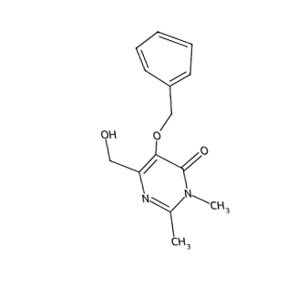 Cc1nc(CO)c(OCc2ccccc2)c(=O)n1C